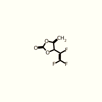 C=C1OC(=O)OC1C(F)=C(F)F